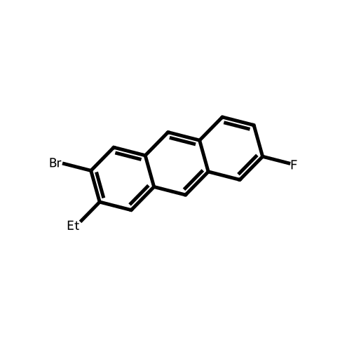 CCc1cc2cc3cc(F)ccc3cc2cc1Br